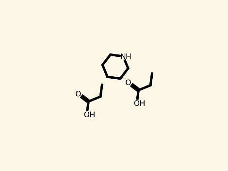 C1CCNCC1.CCC(=O)O.CCC(=O)O